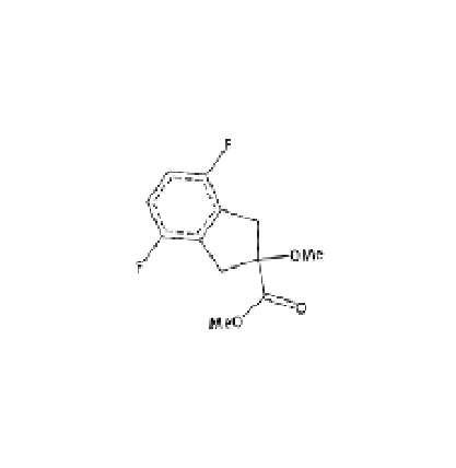 COC(=O)C1(OC)Cc2c(F)ccc(F)c2C1